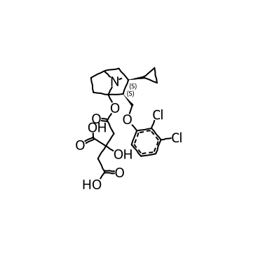 CN1C2CCC1(OC(=O)CC(O)(CC(=O)O)C(=O)O)[C@H](COc1cccc(Cl)c1Cl)[C@H](C1CC1)C2